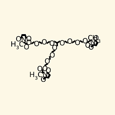 CC(C(=O)OCCOCCOCCOCC(COCCOCCOCCOC(=O)C(C)N1C(=O)C=CC1=O)COCCOCCOCCOC(=O)C(C)N1C(=O)C=CC1=O)N1C(=O)C=CC1=O